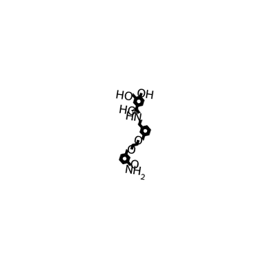 NC(=O)c1cccc(COCCOCc2cccc(CCNC[C@@H](O)c3ccc(O)c(CO)c3)c2)c1